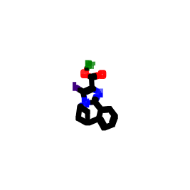 O=C(OBr)c1nc2n(c1I)C1CC(C1)c1ccccc1-2